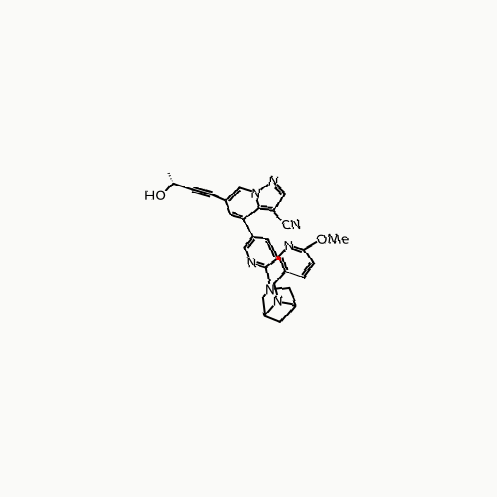 COc1ccc(CN2C3CC2CN(c2ccc(-c4cc(C#C[C@@H](C)O)cn5ncc(C#N)c45)cn2)C3)cn1